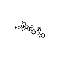 CC(C)N(C)c1cc2c(c(CN(C)C(=O)O)n1)CN(c1cccc(-c3nncn3C(C)c3ccccc3F)n1)C2=O